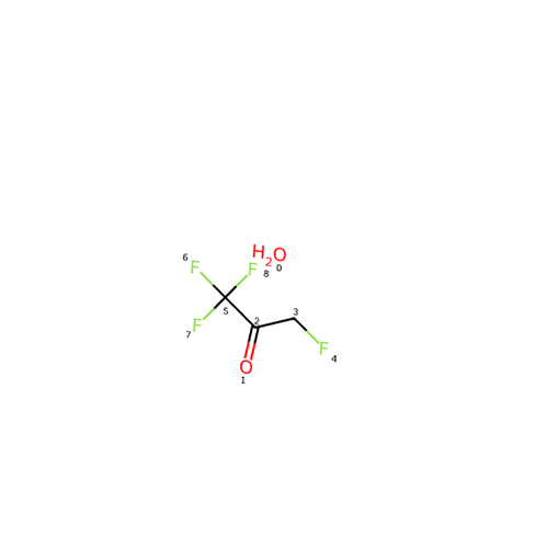 O.O=C(CF)C(F)(F)F